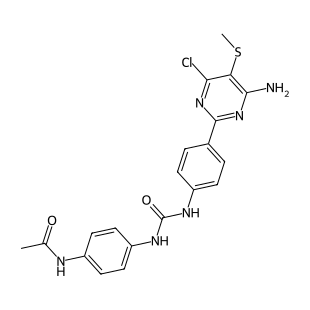 CSc1c(N)nc(-c2ccc(NC(=O)Nc3ccc(NC(C)=O)cc3)cc2)nc1Cl